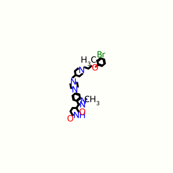 Cc1c(Br)cccc1OCCCN1CCC(CN2CCN(c3ccc4c(C5CCC(=O)NC5=O)nn(C)c4c3)CC2)CC1